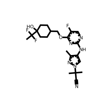 Cc1nn(C(C)(C)C#N)cc1Nc1ncc(F)c(OCC2CCC(O)(C(C)(F)F)CC2)n1